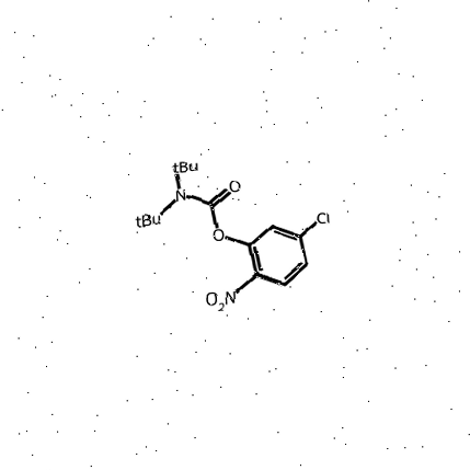 CC(C)(C)N(C(=O)Oc1cc(Cl)ccc1[N+](=O)[O-])C(C)(C)C